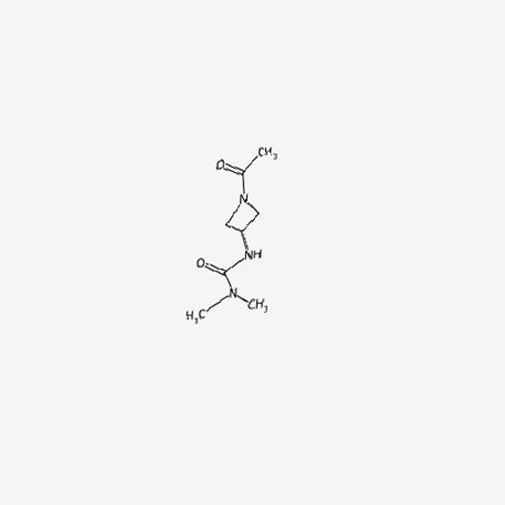 CC(=O)N1CC(NC(=O)N(C)C)C1